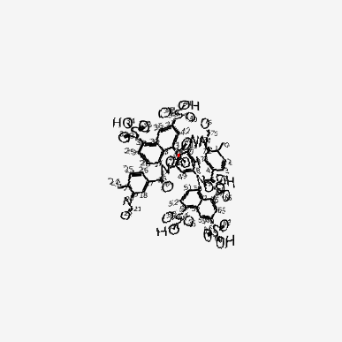 CC1C=CC(C(=O)N(c2cc(N)cc(N(C(=O)C3=CC(=NC=O)C(C)C=C3)c3ccc(S(=O)(=O)O)c4cc(S(=O)(=O)O)cc(S(=O)(=O)O)c34)c2)c2ccc(S(=O)(=O)O)c3cc(S(=O)(=O)O)cc(S(=O)(=O)O)c23)=CC1=NC=O